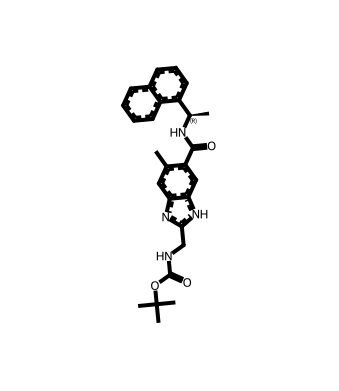 Cc1cc2nc(CNC(=O)OC(C)(C)C)[nH]c2cc1C(=O)N[C@H](C)c1cccc2ccccc12